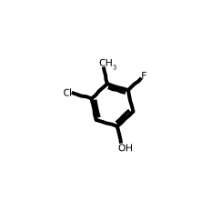 Cc1c(F)cc(O)cc1Cl